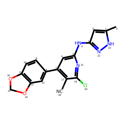 Cc1cc(Nc2cc(-c3ccc4c(c3)OCO4)c(C#N)c(Cl)n2)n[nH]1